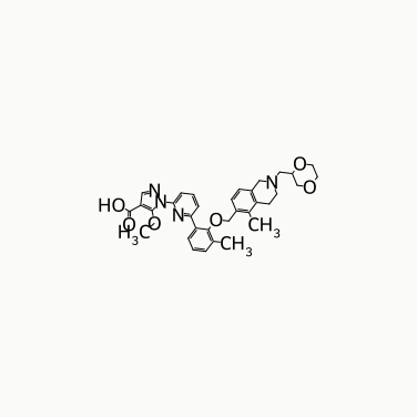 COc1c(C(=O)O)cnn1-c1cccc(-c2cccc(C)c2OCc2ccc3c(c2C)CCN(CC2COCCO2)C3)n1